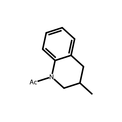 CC(=O)N1CC(C)Cc2ccccc21